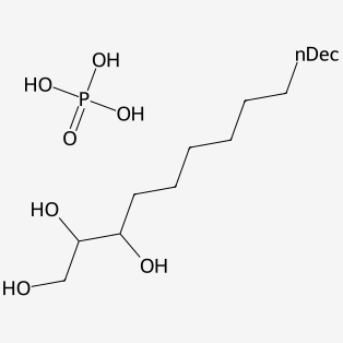 CCCCCCCCCCCCCCCCC(O)C(O)CO.O=P(O)(O)O